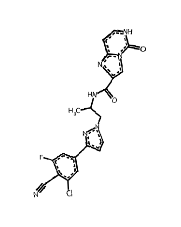 CC(Cn1ccc(-c2cc(F)c(C#N)c(Cl)c2)n1)NC(=O)c1cn2c(=O)[nH]ccc2n1